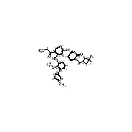 CCC(=O)c1cnc(Nc2ccn(CC3CC(F)(F)C3)c(=O)n2)cc1Nc1cccc(-c2ncn(C)n2)c1OC